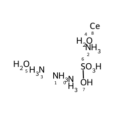 N.N.N.N.O.O.O=S(=O)(O)O.[Ce]